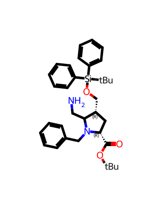 CC(C)(C)OC(=O)[C@H]1C[C@@H](CO[Si](c2ccccc2)(c2ccccc2)C(C)(C)C)C(CN)N1Cc1ccccc1